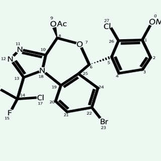 COc1cccc([C@H]2O[C@H](OC(C)=O)c3nnc(C(F)(F)Cl)n3-c3ccc(Br)cc32)c1Cl